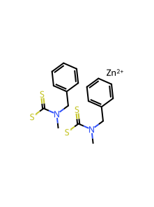 CN(Cc1ccccc1)C(=S)[S-].CN(Cc1ccccc1)C(=S)[S-].[Zn+2]